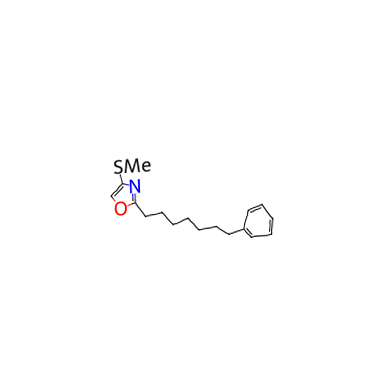 CSc1coc(CCCCCCCc2ccccc2)n1